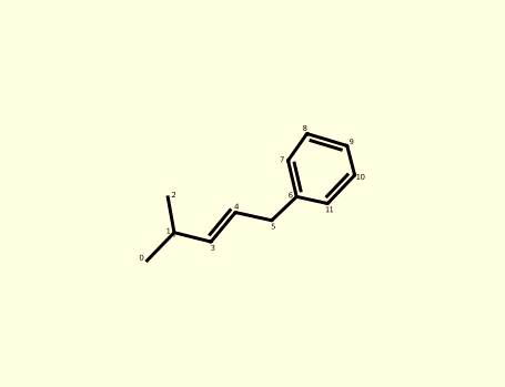 C[C](C)/C=C/Cc1ccccc1